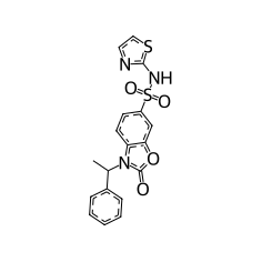 CC(c1ccccc1)n1c(=O)oc2cc(S(=O)(=O)Nc3nccs3)ccc21